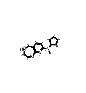 CN(c1ccc2c(n1)OCCNC2)C1CCCC1